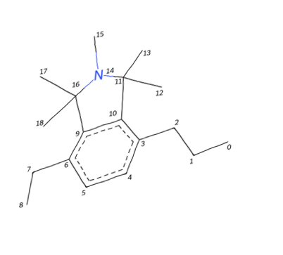 CCCc1ccc(CC)c2c1C(C)(C)N(C)C2(C)C